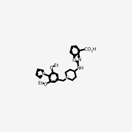 CCOc1cc(CN2CCC(Nc3nc4c(C(=O)O)cccc4o3)CC2)cc(OCC)c1-n1cccc1